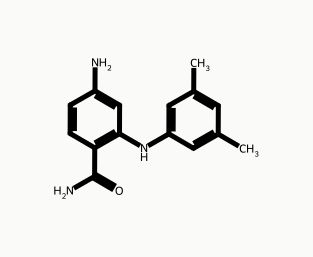 Cc1cc(C)cc(Nc2cc(N)ccc2C(N)=O)c1